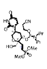 COP(=O)(/C=C/[C@@]1(CO)OC[C@@H](n2ccc(=O)[nH]c2=O)C[C@@H]1OP(OCCC#N)N(C(C)C)C(C)C)OC